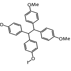 COc1ccc(C(c2ccc(OC)cc2)C(c2ccc(O)cc2)c2ccc(OI)cc2)cc1